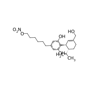 C=C(C)[C@H]1CCC(CO)=C[C@@H]1c1c(O)cc(CCCCCCO[N+](=O)[O-])cc1O